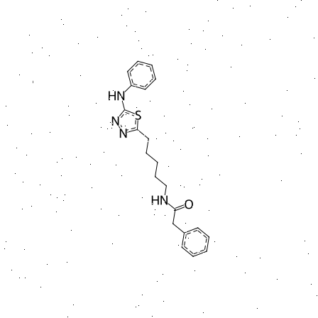 O=C(Cc1ccccc1)NCCCCCc1nnc(Nc2ccccc2)s1